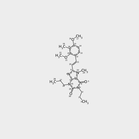 CCCn1c(=O)c2c(nc(/C=C/c3ccc(OC)c(C)c3OC)n2C)n(CCC)c1=O